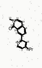 CC(C)c1ccnc(-c2ccc3ccn(C)c(=O)c3c2)c1